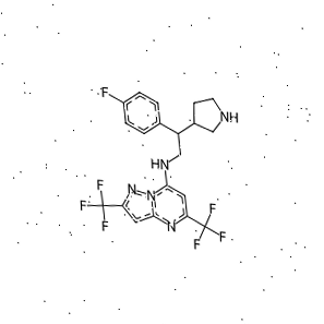 Fc1ccc(C(CNc2cc(C(F)(F)F)nc3cc(C(F)(F)F)nn23)C2CCNC2)cc1